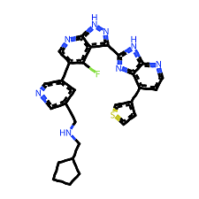 Fc1c(-c2cncc(CNCC3CCCC3)c2)cnc2[nH]nc(-c3nc4c(-c5ccsc5)ccnc4[nH]3)c12